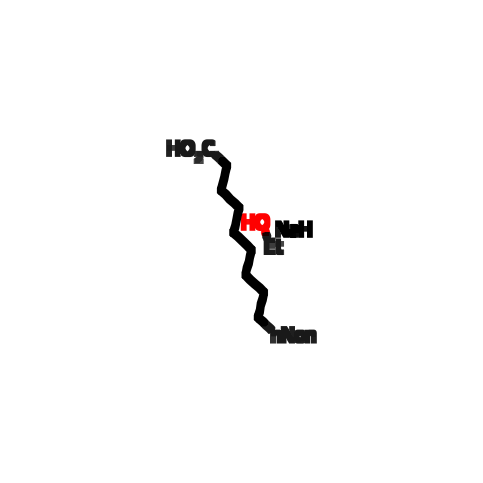 CCCCCCCCCCCCCCCCCC(=O)O.CCO.[NaH]